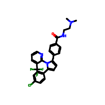 CN(C)CCNC(=O)c1ccc(-c2ccc(-c3ccc(Cl)cc3)n2-c2ncccc2C(F)(F)F)cc1